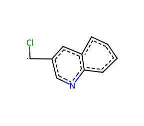 Cl[CH]c1cnc2ccccc2c1